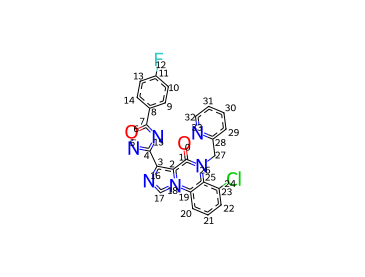 O=c1c2c(-c3noc(-c4ccc(F)cc4)n3)ncn2c2cccc(Cl)c2n1Cc1ccccn1